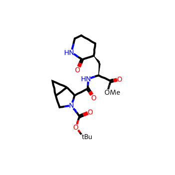 COC(=O)[C@H](C[C@@H]1CCCNC1=O)NC(=O)C1C2CC2CN1C(=O)OC(C)(C)C